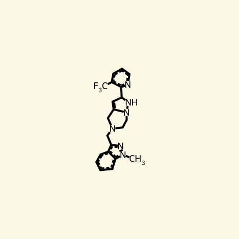 Cn1nc(CN2CCN3NC(c4ncccc4C(F)(F)F)C=C3C2)c2ccccc21